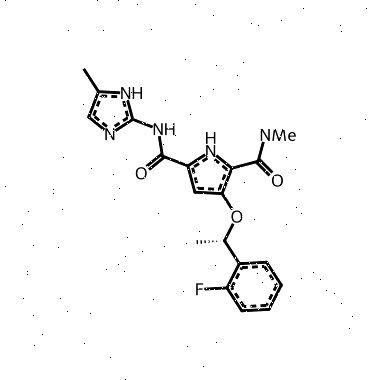 CNC(=O)c1[nH]c(C(=O)Nc2ncc(C)[nH]2)cc1O[C@@H](C)c1ccccc1F